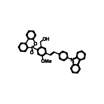 COc1cc(P2(=O)Oc3ccccc3-c3ccccc32)c(CO)cc1/C=C/c1ccc(-n2c3ccccc3c3ccccc32)cc1